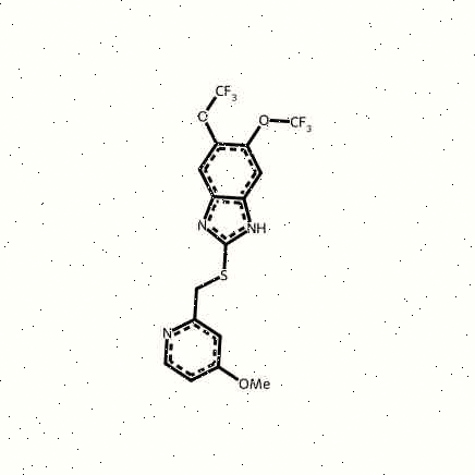 COc1ccnc(CSc2nc3cc(OC(F)(F)F)c(OC(F)(F)F)cc3[nH]2)c1